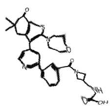 CC1(C)CC(=O)c2sc(N3CCOCC3)c(-c3ccnc(-c4cccc(C(=O)N5CC(NC(=O)O)C5)c4)c3)c2C1